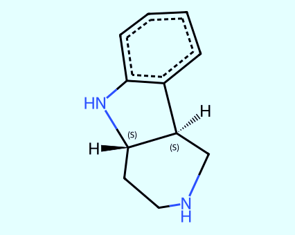 c1ccc2c(c1)N[C@H]1CCNC[C@H]21